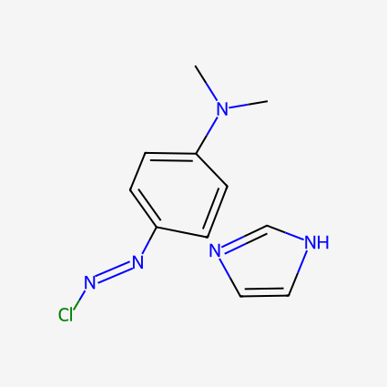 CN(C)c1ccc(/N=N/Cl)cc1.c1c[nH]cn1